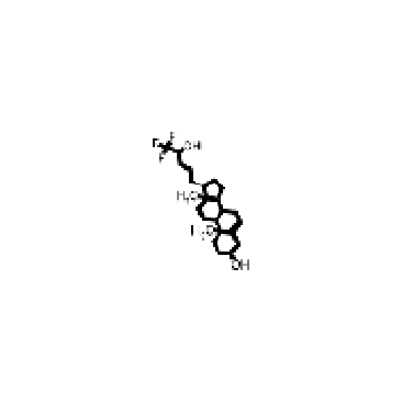 CC12CCC(O)CC1=CCC1C2CCC2(C)C1CC[C@@H]2CCCC(O)C(F)(F)F